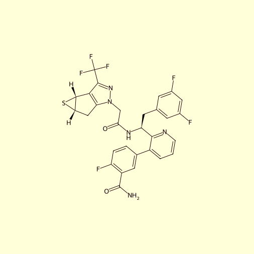 NC(=O)c1cc(-c2cccnc2[C@H](Cc2cc(F)cc(F)c2)NC(=O)Cn2nc(C(F)(F)F)c3c2C[C@@H]2S[C@H]32)ccc1F